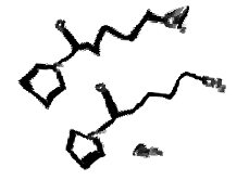 CCCCCC(=O)[c-]1cccc1.CCCCCC(=O)[c-]1cccc1.[Fe+2]